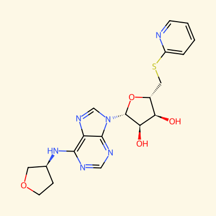 O[C@@H]1[C@H](O)[C@@H](CSc2ccccn2)O[C@H]1n1cnc2c(N[C@H]3CCOC3)ncnc21